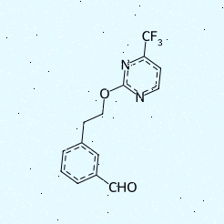 O=Cc1cccc(CCOc2nccc(C(F)(F)F)n2)c1